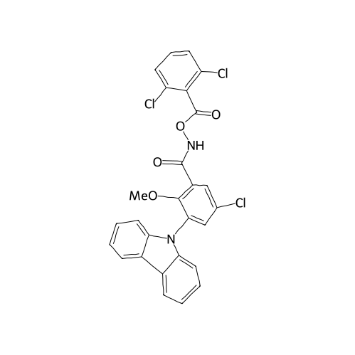 COc1c(C(=O)NOC(=O)c2c(Cl)cccc2Cl)cc(Cl)cc1-n1c2ccccc2c2ccccc21